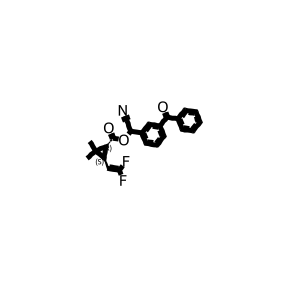 CC1(C)[C@H](C=C(F)F)[C@H]1C(=O)OC(C#N)c1cccc(C(=O)c2ccccc2)c1